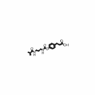 C=C(C)C(=O)NCCCNC(=O)Oc1ccc(CCC(=O)O)cc1